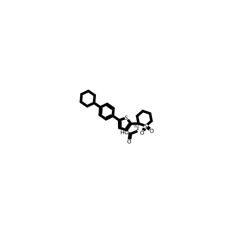 O=C(O)C[C@]1(c2ccc(-c3ccc(C4CCCCC4)cc3)s2)CCCCS1(=O)=O